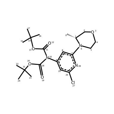 C[C@@H]1COCCN1c1cc(N(C(=O)OC(C)(C)C)C(=O)OC(C)(C)C)cc(Cl)n1